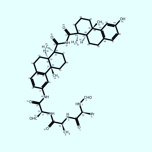 CC(C)[C@H](NC=O)C(=O)N[C@@H](C)C(=O)N[C@@H](C=O)C(=O)Nc1ccc2c(c1)[C@@]1(C)CCC[C@](C)(C(=O)NC(=O)[C@@]3(C)CCC[C@]4(C)c5cc(O)ccc5CC[C@@H]34)[C@@H]1CC2